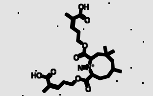 CC(=CCCOC(=O)C1CCC(C)CC(C)(C)CC(C(=O)OCCC=C(C)C(=O)O)[N+]1=[N-])C(=O)O